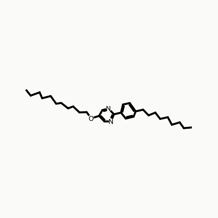 CCCCCCCCCCCOc1cnc(-c2ccc(CCCCCCCCC)cc2)nc1